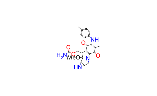 COC12C(COC(N)=O)C3=C(C(=O)C(C)=C(Nc4ccc(C)cc4)C3=O)N1CC1NC12